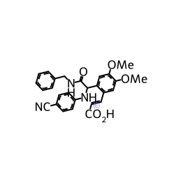 COc1cc(/C=C/C(=O)O)c(C(Nc2ccc(C#N)cc2)C(=O)NCc2ccccc2)cc1OC